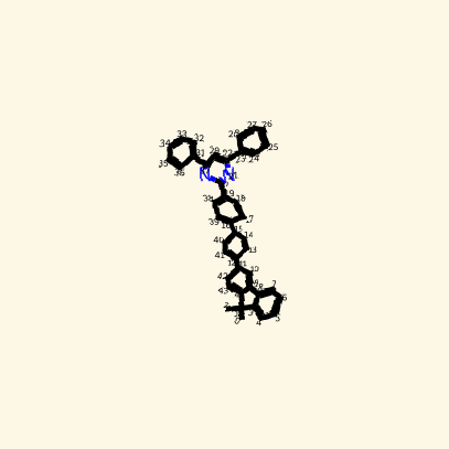 CC1(C)c2ccccc2-c2cc(-c3ccc(-c4ccc(-c5nc(-c6ccccc6)cc(-c6ccccc6)n5)cc4)cc3)ccc21